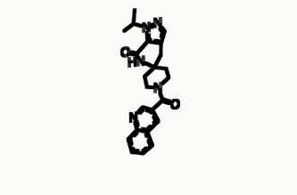 CC(C)n1ncc2c1C(=O)NC1(CCN(C(=O)c3cnc4ccccc4c3)CC1)C2